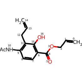 C=CCOC(=O)c1ccc(NC(C)=O)c(CC=C)c1O